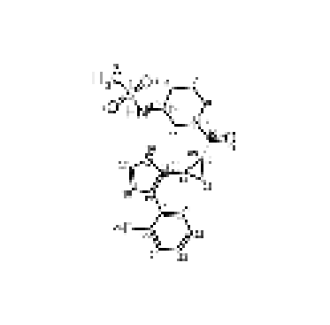 CS(=O)(=O)N[C@H]1CCCN(C(=O)[C@@H]2C[C@H]2c2sccc2-c2ccccc2F)C1